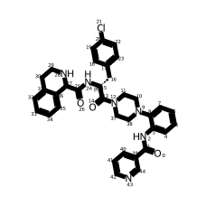 O=C(Nc1ccccc1N1CCN(C(=O)[C@@H](Cc2ccc(Cl)cc2)NC(=O)C2N[CH]Cc3ccccc32)CC1)c1cccnc1